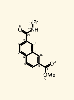 COC(=O)c1ccc2ccc(C(=O)NC(C)C)cc2c1